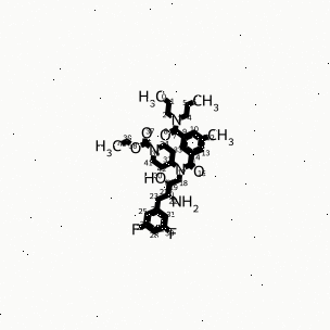 CCCN(CCC)C(=O)c1cc(C)cc(C(=O)N(C[C@@H](O)[C@@H](N)Cc2cc(F)cc(F)c2)C2CCN(C(=O)OCC)CC2)c1